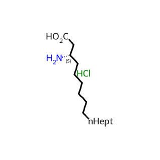 CCCCCCCCCCCCC[C@H](N)CC(=O)O.Cl